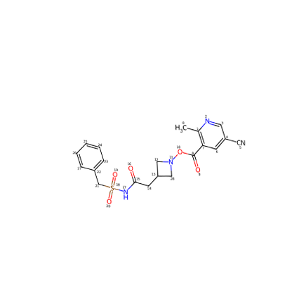 Cc1ncc(C#N)cc1C(=O)ON1CC(CC(=O)NS(=O)(=O)Cc2ccccc2)C1